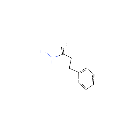 C=C(CCc1ccccc1)NN